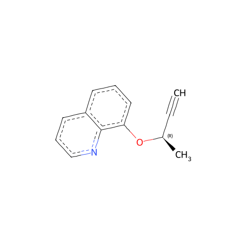 C#C[C@@H](C)Oc1cccc2cccnc12